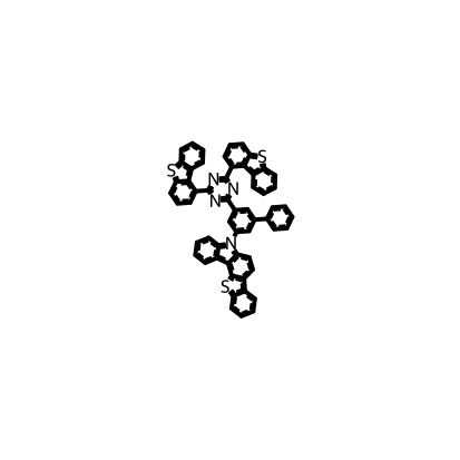 c1ccc(-c2cc(-c3nc(-c4cccc5sc6ccccc6c45)nc(-c4cccc5sc6ccccc6c45)n3)cc(-n3c4ccccc4c4c5sc6ccccc6c5ccc43)c2)cc1